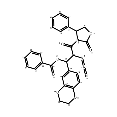 [N-]=[N+]=NC(C(=O)N1C(=O)OCC1c1ccccc1)C(OC(=O)c1ccccc1)c1ccc2c(c1)OCCO2